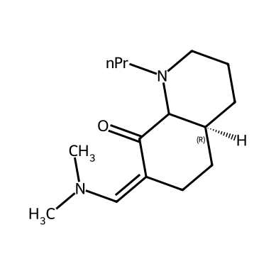 CCCN1CCC[C@H]2CCC(=CN(C)C)C(=O)C21